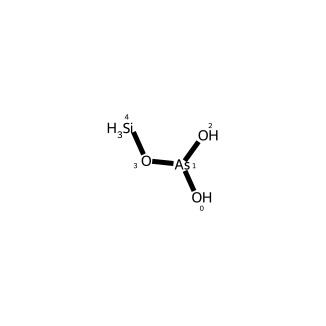 O[As](O)O[SiH3]